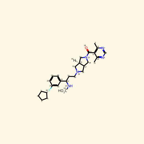 C1CCCC1.Cc1ncnc(C)c1C(=O)N1CC2CN(CCC(NC(=O)O)c3cccc(F)c3)C[C@H]2C1